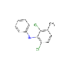 Cc1ccc(Cl)c(Nc2c[c]ccc2)c1Cl